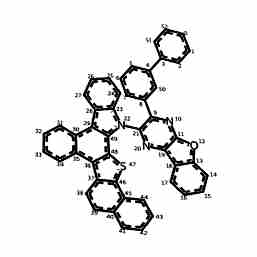 c1ccc(-c2cccc(-c3nc4oc5ccccc5c4nc3-n3c4ccccc4c4c5ccccc5c5c6ccc7ccccc7c6sc5c43)c2)cc1